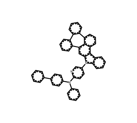 c1ccc(-c2ccc(N(c3ccccc3)c3ccc(-n4c5ccccc5c5c6cccc7c6c(cc54)-c4ccccc4-c4ccccc4-7)cn3)cc2)cc1